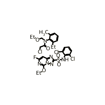 CCOCN(C(=O)CCl)c1c(C)cccc1CC.CCOc1nc(F)cc2nc(S(=O)(=O)Nc3c(Cl)cccc3Cl)nn12